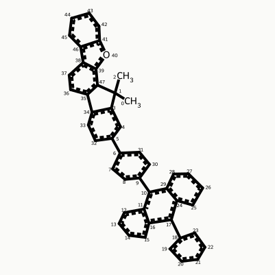 CC1(C)c2cc(-c3ccc(-c4c5ccccc5c(-c5ccccc5)c5ccccc45)cc3)ccc2-c2ccc3c(oc4ccccc43)c21